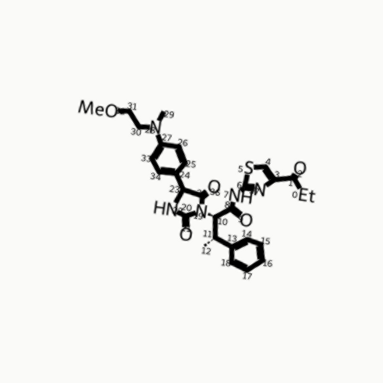 CCC(=O)c1csc(NC(=O)[C@H]([C@@H](C)c2ccccc2)N2C(=O)NC(c3ccc(N(C)CCOC)cc3)C2=O)n1